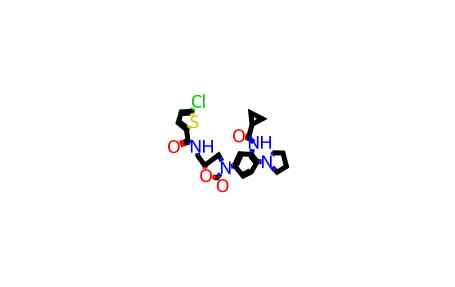 O=C(NCC1CN(c2ccc(N3CCCC3)c(NC(=O)C3CC3)c2)C(=O)O1)c1ccc(Cl)s1